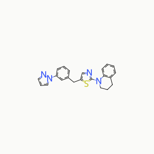 c1cc(Cc2cnc(N3CCCc4ccccc43)s2)cc(-n2cccn2)c1